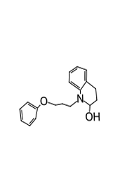 OC1CCc2ccccc2N1CCCOc1ccccc1